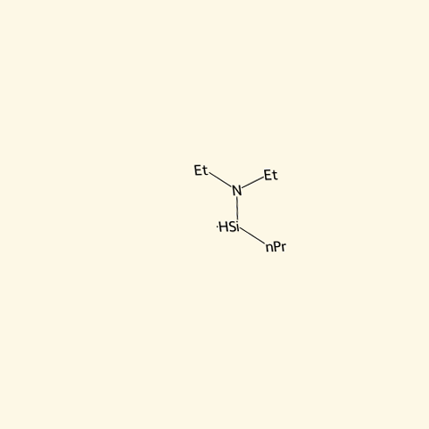 CCC[SiH]N(CC)CC